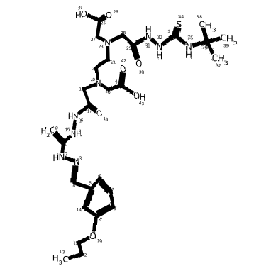 C=C(N/N=C/c1cccc(OCCC)c1)NNC(=O)CN(CCN(CC(=O)O)CC(=O)NNC(=S)NC(C)(C)C)CC(=O)O